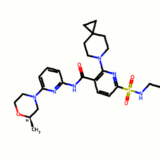 CC(C)CNS(=O)(=O)c1ccc(C(=O)Nc2cccc(N3CCO[C@H](C)C3)n2)c(N2CCC3(CC2)CC3)n1